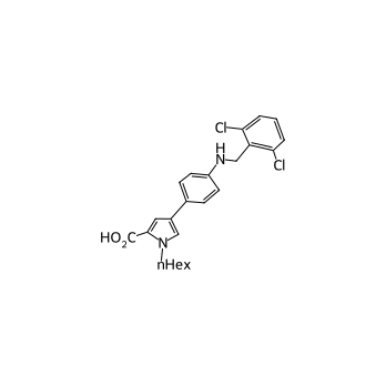 CCCCCCn1cc(-c2ccc(NCc3c(Cl)cccc3Cl)cc2)cc1C(=O)O